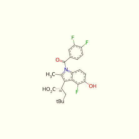 Cc1c([C@H](CC(C)(C)C)C(=O)O)c2c(F)c(O)ccc2n1C(=O)c1ccc(F)c(F)c1